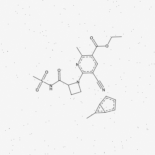 CCOC(=O)c1cc(C#N)c(N2CCC2C(=O)NS(C)(=O)=O)nc1C.Cc1c2cccc1-2